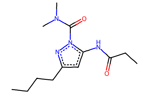 CCCCc1cc(NC(=O)CC)n(C(=O)N(C)C)n1